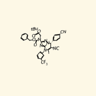 [C-]#[N+]C1=C(C)N(c2cccc(C(F)(F)F)c2)c2nc(N(CC(=O)OC(C)(C)C)C(=O)OCc3ccccc3)nn2[C@@H]1c1ccc(C#N)cc1